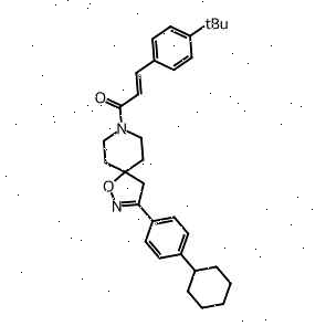 CC(C)(C)c1ccc(C=CC(=O)N2CCC3(CC2)CC(c2ccc(C4CCCCC4)cc2)=NO3)cc1